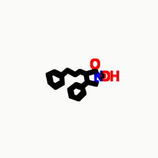 O=C1C(CCCc2ccccc2)C(c2ccccc2)CN1O